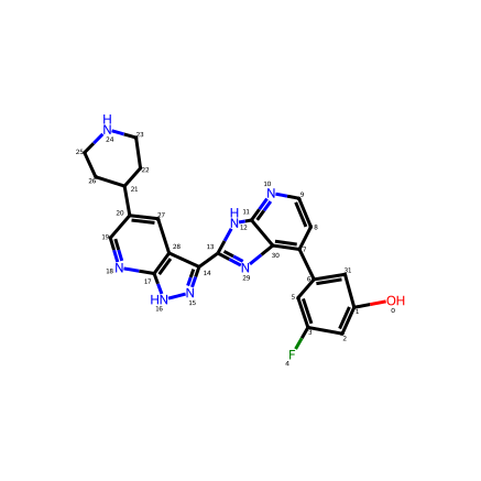 Oc1cc(F)cc(-c2ccnc3[nH]c(-c4n[nH]c5ncc(C6CCNCC6)cc45)nc23)c1